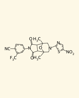 CC12CN(c3ncc([N+](=O)[O-])s3)CC(C)(O1)C1C(=O)N(c3ccc(C#N)c(C(F)(F)F)c3)C(=O)C12